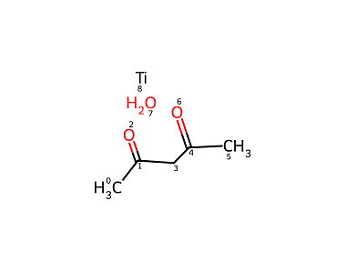 CC(=O)CC(C)=O.O.[Ti]